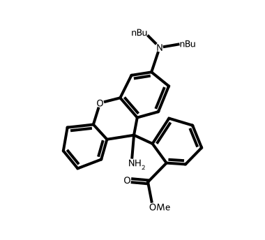 CCCCN(CCCC)c1ccc2c(c1)Oc1ccccc1C2(N)c1ccccc1C(=O)OC